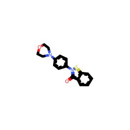 O=c1c2ccccc2sn1-c1ccc(N2CCOCC2)cc1